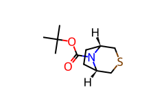 CC(C)(C)OC(=O)N1[C@@H]2CC[C@H]1CSC2